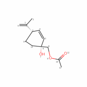 C=C(C)[C@@H]1C=C[C@@](O)(COC(C)=O)CC1